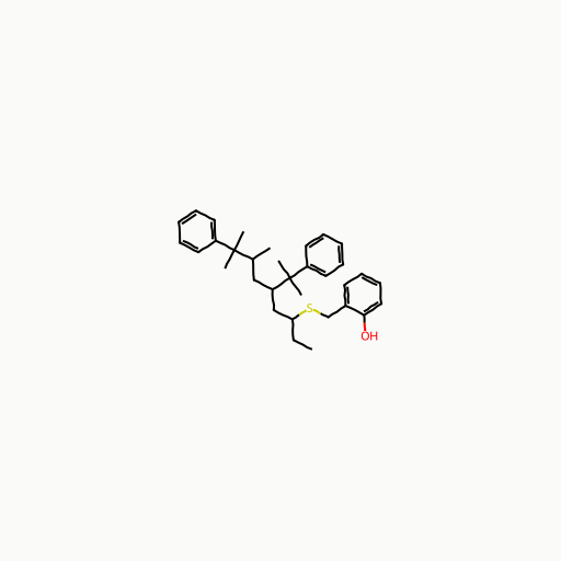 CCC(CC(CC(C)C(C)(C)c1ccccc1)C(C)(C)c1ccccc1)SCc1ccccc1O